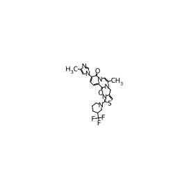 Cc1cn(-c2ccc3c(=O)n(Cc4csc(N5CCCC(C(F)(F)F)C5)n4)c(C)cn3c2=O)cn1